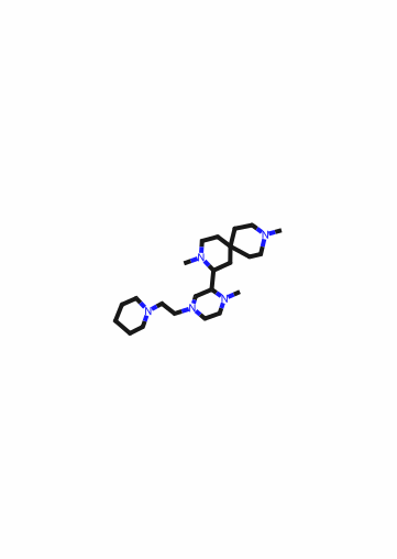 CN1CCC2(CC1)CCN(C)C(C1CN(CCN3CCCCC3)CCN1C)C2